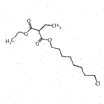 CCOC(=O)C(CC)C(=O)OCCCCCCCCCl